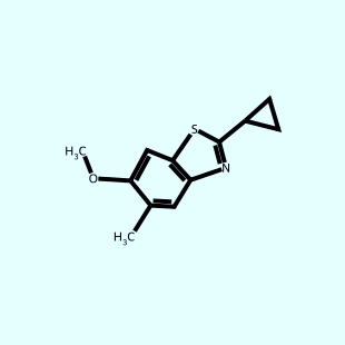 COc1cc2sc(C3CC3)nc2cc1C